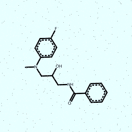 CN(CC(O)CNC(=O)c1ccccc1)c1ccc(F)cc1